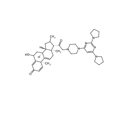 CC1C[C@H]2[C@@H]3CC(O)C4=CC(=O)C=C[C@]4(C)C3=CC[C@]2(C)[C@H]1C(=O)CN1CCN(c2cc(N3CCCC3)nc(N3CCCC3)n2)CC1